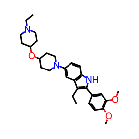 CCc1c(-c2ccc(OC)c(OC)c2)[nH]c2ccc(N3CCC(OC4CCN(CC)CC4)CC3)cc12